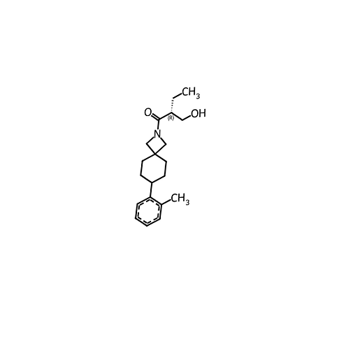 CC[C@H](CO)C(=O)N1CC2(CCC(c3ccccc3C)CC2)C1